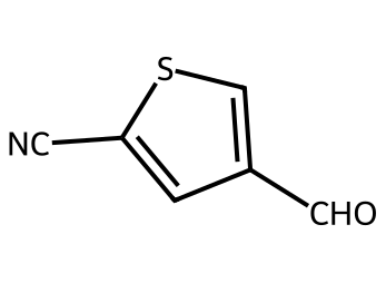 N#Cc1cc(C=O)cs1